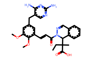 CCC(C)(C(=O)O)C1c2ccccc2C=NN1C(=O)/C=C/c1cc(Cc2cnc(N)nc2N)cc(OC)c1OC